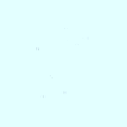 CCN(CC)c1cncc(C(=O)OC)c1